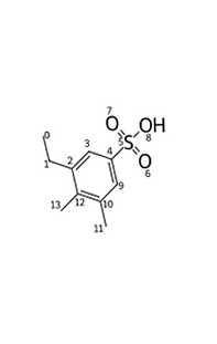 CCc1cc(S(=O)(=O)O)cc(C)c1C